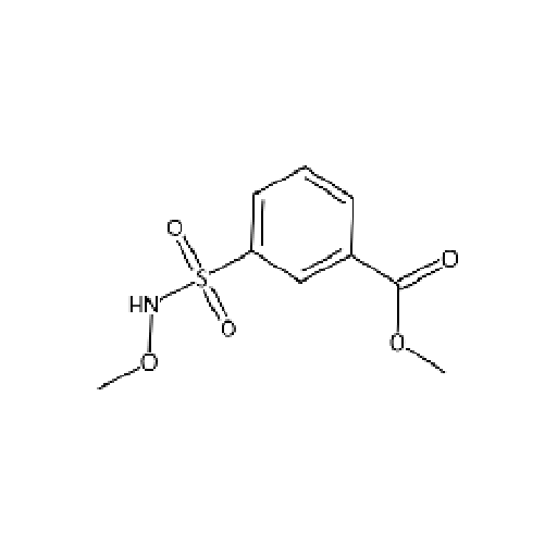 CONS(=O)(=O)c1cccc(C(=O)OC)c1